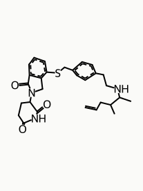 C=CCC(C)C(C)NCCc1ccc(CSc2cccc3c2CN(C2CCC(=O)NC2=O)C3=O)cc1